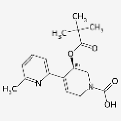 Cc1cccc(C2=CCN(C(=O)O)C[C@@H]2OC(=O)C(C)(C)C)n1